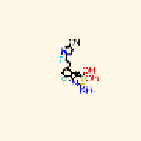 C[C@]1(c2cc(/C=C(\F)c3ccc(C#N)cn3)ccc2F)N=C(N)S[C@@]2(C(O)O)C[C@@H]12